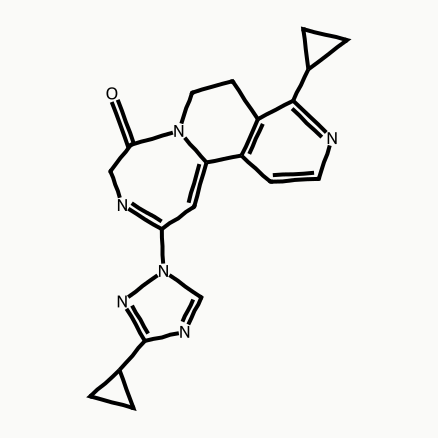 O=C1CN=C(n2cnc(C3CC3)n2)C=C2c3ccnc(C4CC4)c3CCN12